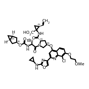 C=C[C@@H]1C[C@]1(NC(=O)[C@@H]1C[C@@H](Oc2cc(-c3coc(NC4CC4)n3)nc3c(Cl)c(OCCOC)ccc23)CN1C(=O)C(NC(=O)O[C@@H]1C[C@@H]2C[C@@H]2C1)C(C)(C)C)C(=O)O